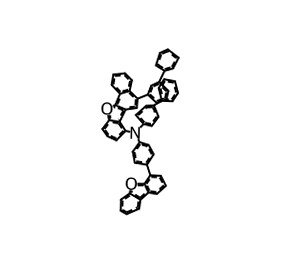 c1ccc(-c2ccc(N(c3ccc(-c4cccc5c4oc4ccccc45)cc3)c3cccc4oc5c6ccccc6c(-c6cccc(-c7ccccc7)c6)cc5c34)cc2)cc1